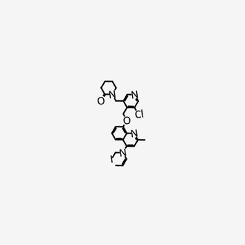 C/C=C\N(CI)c1cc(C)nc2c(OCc3c(Cl)cncc3CN3CCCCC3=O)cccc12